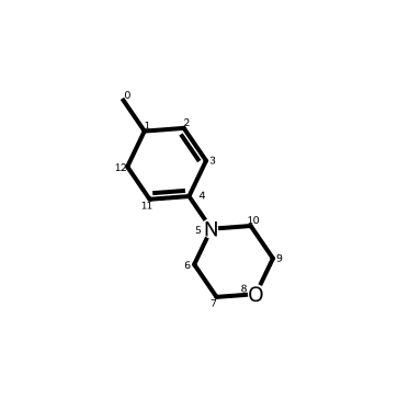 CC1C=CC(N2CCOCC2)=CC1